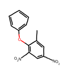 Cc1cc([N+](=O)[O-])cc([N+](=O)[O-])c1Oc1ccccc1